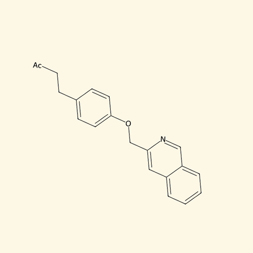 CC(=O)CCc1ccc(OCc2cc3ccccc3cn2)cc1